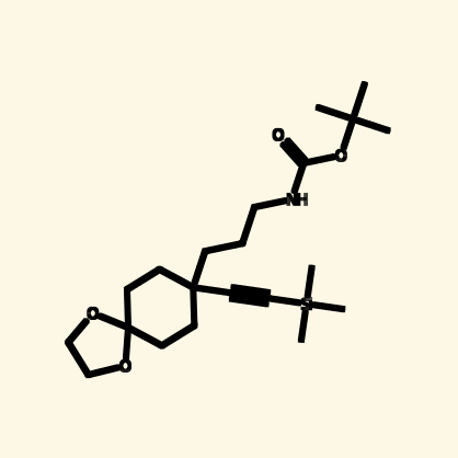 CC(C)(C)OC(=O)NCCCC1(C#C[Si](C)(C)C)CCC2(CC1)OCCO2